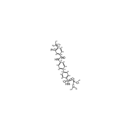 COC(=O)[C@@H](NS(=O)(=O)c1ccc(-c2ccc(NC(=O)c3ccc([N+](C)(C)C)c(F)c3)cc2)cc1)C(C)C